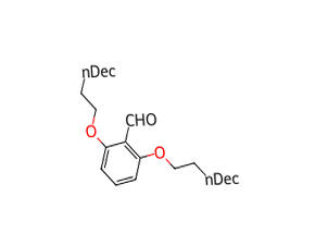 CCCCCCCCCCCCOc1cccc(OCCCCCCCCCCCC)c1C=O